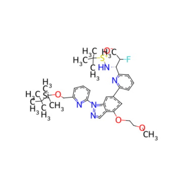 COCCOc1cc(-c2cccc([C@H](N[S+]([O-])C(C)(C)C)C(C)F)n2)cc2c1cnn2-c1cccc(CO[Si](C)(C)C(C)(C)C)n1